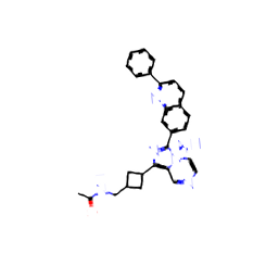 CC(=O)NCC1CC(C2=C3C=NC=C[N+]3(N)C(c3ccc4ccc(-c5ccccc5)nc4c3)=N2)C1